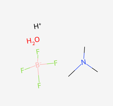 CN(C)C.F[B-](F)(F)F.O.[H+]